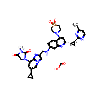 Cc1ccnc([C@H]2C[C@@H]2c2cc(N3CCS(=O)(=O)CC3)c3ccc(NCc4cn5cc(C6CC6)cc(N6CC(=O)N(C)C6=O)c5n4)cc3n2)n1.O=CO